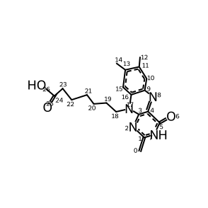 C=c1nc2c(c(=O)[nH]1)=Nc1cc(C)c(C)cc1N2CCCCCCC(=O)O